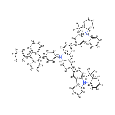 CC(C)(C)c1ccccc1-n1c2ccccc2c2cc(-c3ccc4c(c3)c3cc(-c5ccc6c(c5)c5ccccc5n6-c5ccccc5C(C)(C)C)ccc3n4-c3ccc(-c4c5ccccc5c(-c5ccccc5)c5ccccc45)cc3)ccc21